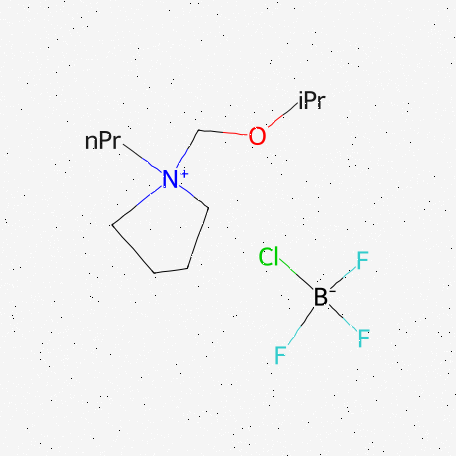 CCC[N+]1(COC(C)C)CCCC1.F[B-](F)(F)Cl